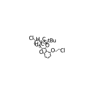 CC(C)(C)[Si](C)(C)Oc1c(-c2ccc(Cl)cc2)oc2cccc(OCCCl)c12